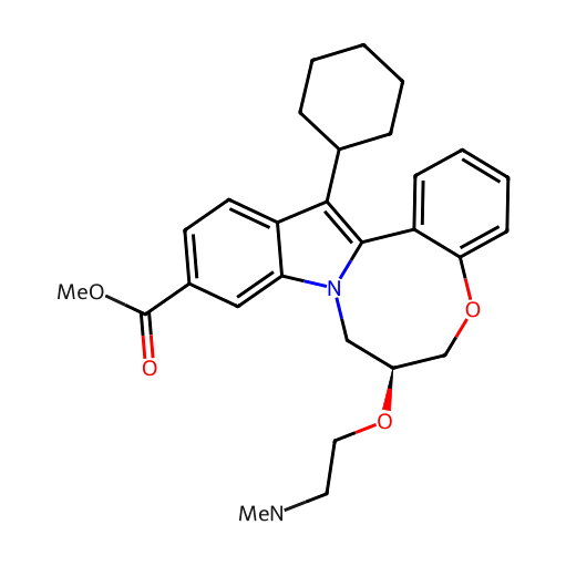 CNCCO[C@@H]1COc2ccccc2-c2c(C3CCCCC3)c3ccc(C(=O)OC)cc3n2C1